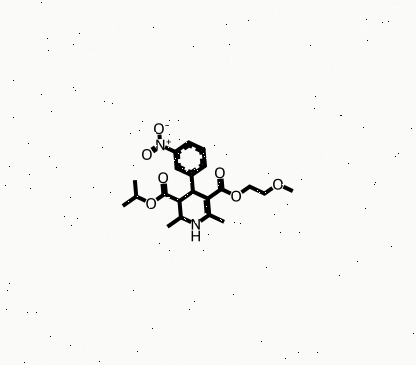 COCCOC(=O)C1=C(C)NC(C)C(C(=O)OC(C)C)C1c1cccc([N+](=O)[O-])c1